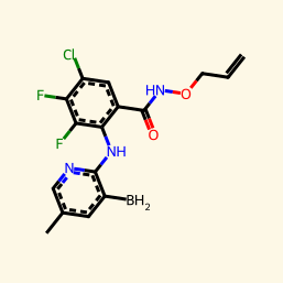 Bc1cc(C)cnc1Nc1c(C(=O)NOCC=C)cc(Cl)c(F)c1F